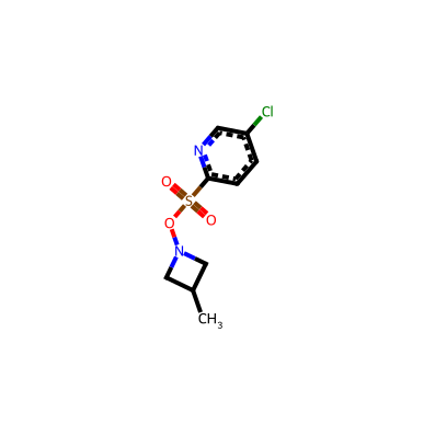 CC1CN(OS(=O)(=O)c2ccc(Cl)cn2)C1